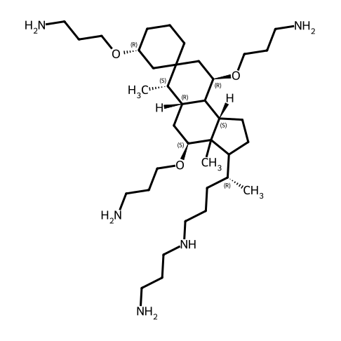 C[C@H](CCCNCCCN)C1CC[C@H]2C3[C@H](OCCCN)CC4(CCC[C@@H](OCCCN)C4)[C@@H](C)[C@H]3C[C@H](OCCCN)C12C